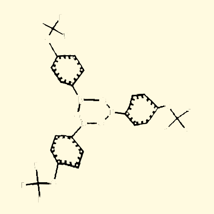 FC(F)(F)Oc1ccc(B2OB(c3ccc(OC(F)(F)F)cc3)OB(c3ccc(OC(F)(F)F)cc3)O2)cc1